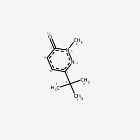 Cn1nc(C(C)(C)C)ccc1=O